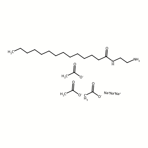 CC(=O)[O-].CC(=O)[O-].CC(=O)[O-].CCCCCCCCCCCCCC(=O)NCCN.[Na+].[Na+].[Na+]